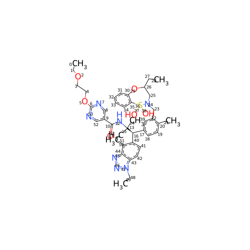 CCOCCOc1ncc(C(=O)NC(C)(C)[C@@H](c2ccc(C)c(CN3CC(CC)Oc4ccccc4S3(O)O)c2)c2ccc3c(nnn3CC)c2C)cn1